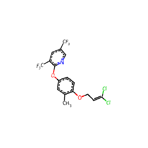 Cc1cc(Oc2ncc(C(F)(F)F)cc2C(F)(F)F)ccc1OCC=C(Cl)Cl